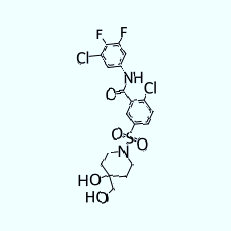 O=C(Nc1cc(F)c(F)c(Cl)c1)c1cc(S(=O)(=O)N2CCC(O)(CO)CC2)ccc1Cl